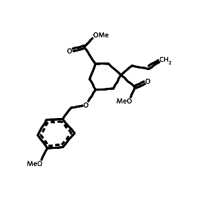 C=CCC1(C(=O)OC)CC(OCc2ccc(OC)cc2)CC(C(=O)OC)C1